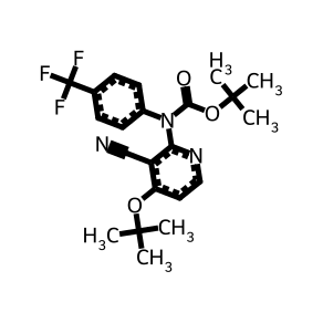 CC(C)(C)OC(=O)N(c1ccc(C(F)(F)F)cc1)c1nccc(OC(C)(C)C)c1C#N